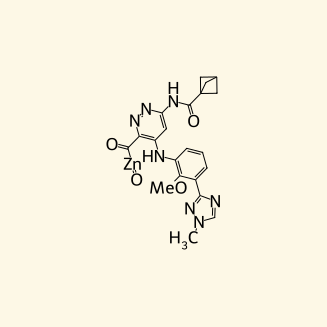 COc1c(Nc2cc(NC(=O)C34CC(C3)C4)nnc2[C](=O)[Zn]=[O])cccc1-c1ncn(C)n1